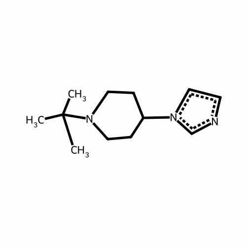 CC(C)(C)N1CCC(n2ccnc2)CC1